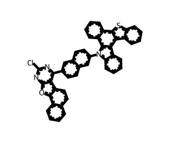 Clc1nc(-c2ccc3cc(-n4c5ccccc5c5c6c7ccccc7sc6c6ccccc6c54)ccc3c2)c2c(n1)oc1c3ccccc3ccc12